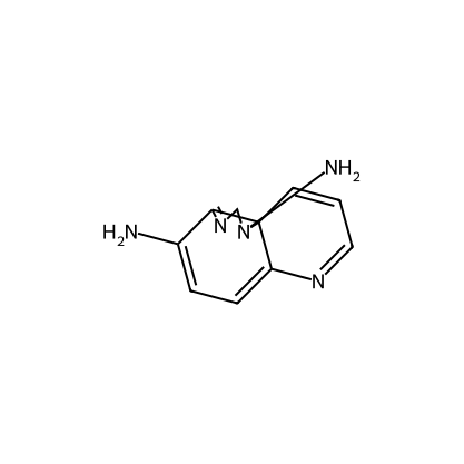 NC1=CC=C2N=CC=CC23C1=NCN3N